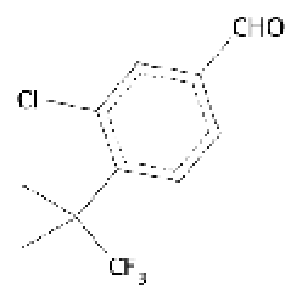 O=Cc1ccc(C2(C(F)(F)F)CC2)c(Cl)c1